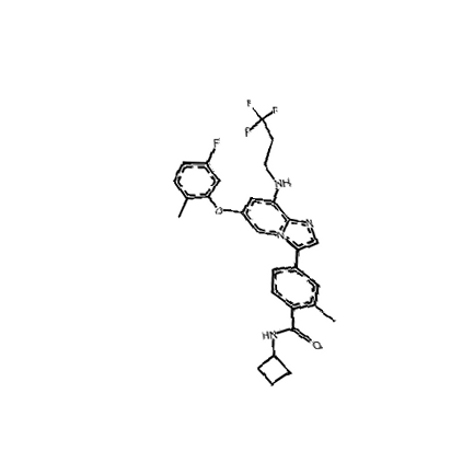 Cc1ccc(F)cc1Oc1cc(NCCC(F)(F)F)c2ncc(-c3ccc(C(=O)NC4CCC4)c(C)c3)n2c1